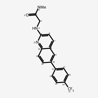 CNC(=O)CNc1ccc2cc(-c3ccc(C(F)(F)F)cc3)ccc2n1